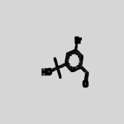 CC(C)(O)c1cc(Br)cc(C=O)c1